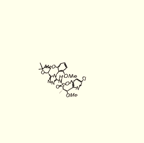 COc1cccc(OC)c1-n1c(NS(=O)(=O)[C@@H](C)[C@H](OC)c2ncc(Cl)cn2)nnc1[C@@H]1CCC(C)(C)O1